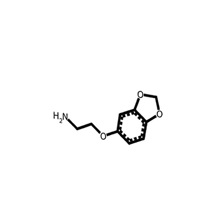 NCCOc1ccc2c(c1)OCO2